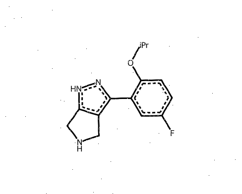 CC(C)Oc1ccc(F)cc1-c1n[nH]c2c1CNC2